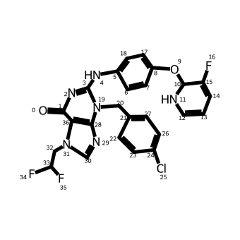 O=c1nc(Nc2ccc(OC3NC=CC=C3F)cc2)n(Cc2ccc(Cl)cc2)c2ncn(CC(F)F)c12